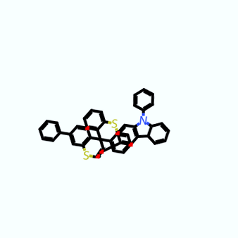 C1=CC2c3cc(C4CC=CC5=C4C4(c6ccc(-c7ccccc7)cc6S5)c5ccccc5Sc5ccccc54)ccc3N(c3ccccc3)C2C=C1